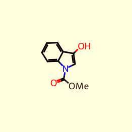 COC(=O)n1cc(O)c2ccccc21